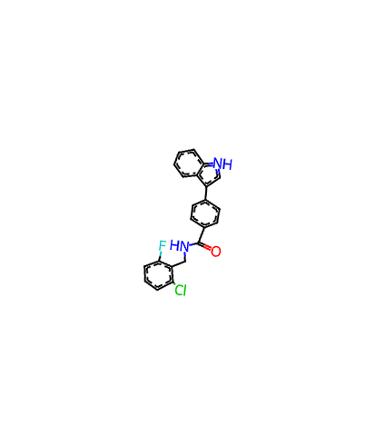 O=C(NCc1c(F)cccc1Cl)c1ccc(-c2c[nH]c3ccccc23)cc1